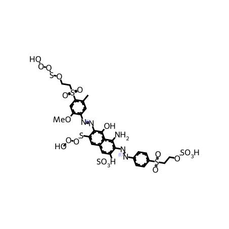 COc1cc(S(=O)(=O)CCOSOOO)c(C)cc1/N=N/c1c(SOOO)cc2cc(S(=O)(=O)O)c(/N=N/c3ccc(S(=O)(=O)CCOS(=O)(=O)O)cc3)c(N)c2c1O